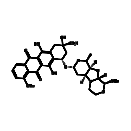 COc1cccc2c1C(=O)c1c(O)c3c(c(O)c1C2=O)C[C@@](O)(C(=O)O)C[C@@H]3O[C@H]1C[C@H]2[C@H](O[C@@H]3[C@@H](OC)OCCN32)[C@H](C)O1